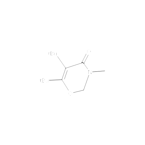 CN1COC(C(C)(C)C)=C(C(C)(C)C)C1=O